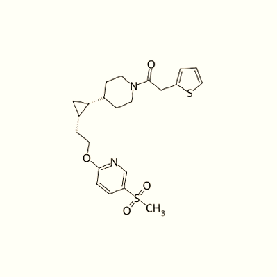 CS(=O)(=O)c1ccc(OCC[C@@H]2C[C@@H]2C2CCN(C(=O)Cc3cccs3)CC2)nc1